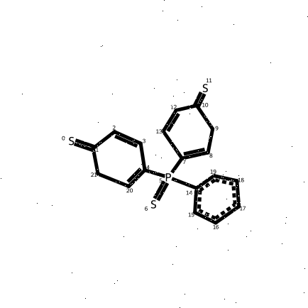 S=C1C=CC(P(=S)(C2=CCC(=S)C=C2)c2ccccc2)=CC1